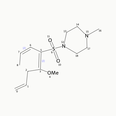 C=CC/C(OC)=C(\C=C/C)S(=O)(=O)N1CCN(C)CC1